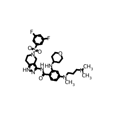 CN(C)CCCN(C)c1ccc(C(=O)Nc2n[nH]c3c2CN(S(=O)(=O)c2cc(F)cc(F)c2)CC3)c(NC2CCOCC2)c1